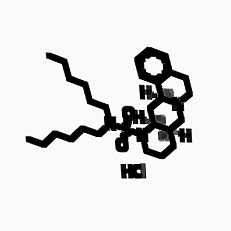 CCCCCCN(CCCCCC)S(=O)(=O)N1CCC[C@@H]2CN3CCc4ccccc4[C@@H]3C[C@@H]21.Cl